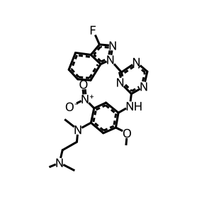 COc1cc(N(C)CCN(C)C)c([N+](=O)[O-])cc1Nc1ncnc(-n2nc(F)c3ccccc32)n1